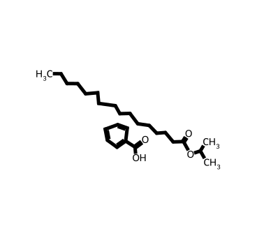 CCCCCCCCCCCCCCCC(=O)OC(C)C.O=C(O)c1ccccc1